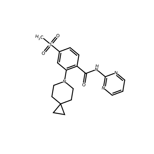 CS(=O)(=O)c1ccc(C(=O)Nc2ncccn2)c(N2CCC3(CC2)CC3)c1